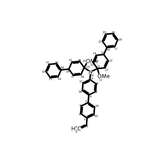 C=Cc1ccc(-c2ccc(N(C3(OC)C=CC(c4ccccc4)C=C3)C3(OC)C=CC(c4ccccc4)C=C3)cc2)cc1